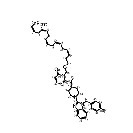 CCCCC/C=C\C/C=C\C/C=C\C/C=C\C/C=C\CCOCn1c(N(C)C2CCN(c3nc4ccccc4n3Cc3ccc(F)cc3)CC2)nccc1=O